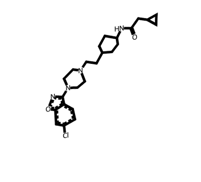 O=C(CC1CC1)NC1CCC(CCN2CCN(c3noc4cc(Cl)ccc34)CC2)CC1